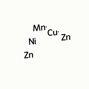 [Cu].[Mn].[Ni].[Zn].[Zn]